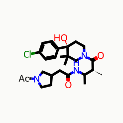 CC(=O)N1CCC(CC(=O)NC(C)[C@@H](C)C(=O)N2CC[C@](O)(c3ccc(Cl)cc3)C(C)(C)C2)C1